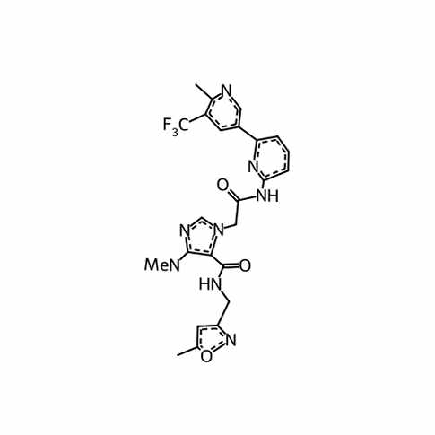 CNc1ncn(CC(=O)Nc2cccc(-c3cnc(C)c(C(F)(F)F)c3)n2)c1C(=O)NCc1cc(C)on1